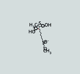 COCCC[S+]([O-])CCCCCCCCCC1c2ccc(O)cc2SCC1(C)c1ccc(O)cc1